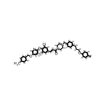 Cc1ccc(COc2ccc(Oc3c(C)cc(/C=C/C(=O)N4CCN(Cc5ccc(CCCOc6ccc(F)cc6)cc5)CC4)cc3Cl)nc2)cc1